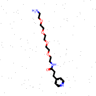 NCCOCCOCCOCCOCCNC(=O)CCc1ccncc1